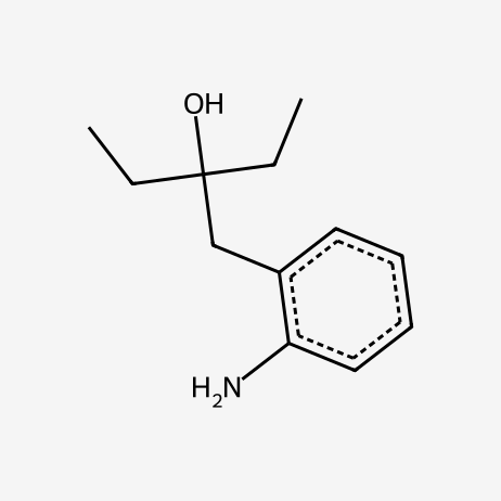 CCC(O)(CC)Cc1ccccc1N